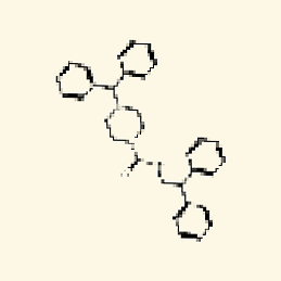 O=C(NCC(c1ccccc1)c1ccccc1)N1CCN(C(c2ccccc2)c2ccccc2)CC1